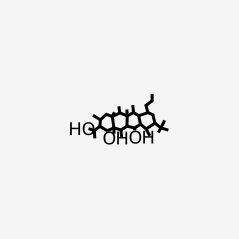 CCCC1CC(C(C)(C)C)C(C)C2C(O)C3C(C)C4(C)C(O)C(C(C)O)C(C)CC4(C)C(C)C3(C)C(C)C12